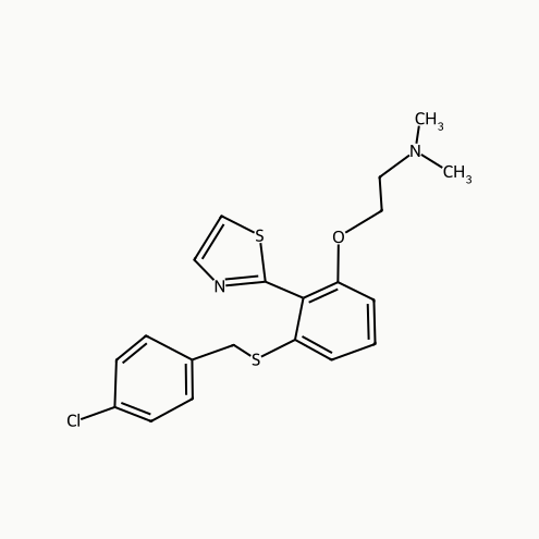 CN(C)CCOc1cccc(SCc2ccc(Cl)cc2)c1-c1nccs1